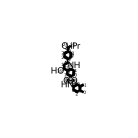 Cc1ccc(NS(=O)(=O)c2ccc3c(c2)[C@@H](O)C[C@@H](c2ccc(C(=O)C(C)C)cc2)N3)cc1C